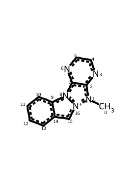 Cn1c2nccnc2n2c3ccccc3c[n+]12